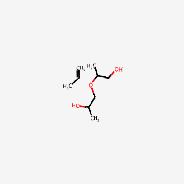 C=CC.CC(O)COC(C)CO